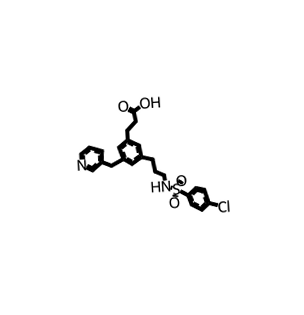 O=C(O)CCc1cc(CCCNS(=O)(=O)c2ccc(Cl)cc2)cc(Cc2cccnc2)c1